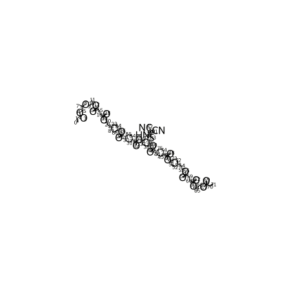 C=CC(=O)OCC(C)OCC(C)OC(=O)CCC(=O)OCCc1ccc(OC(=O)[C@H]2CC[C@H](C(=O)Oc3ccc(OC(=O)[C@H]4CC[C@H](C(=O)Oc5ccc(CCOC(=O)CCC(=O)OC(C)COC(=O)C=C)cc5)CC4)c4c3NC(=C(C#N)C#N)S4)CC2)cc1